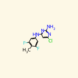 Cc1c(F)cc(Nc2cc(Cl)nc(N)n2)cc1F